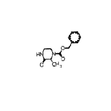 C[C@H]1C(=O)NCCN1C(=O)OCc1ccccc1